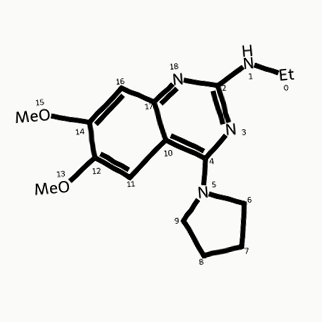 CCNc1nc(N2CCCC2)c2cc(OC)c(OC)cc2n1